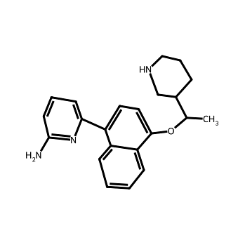 CC(Oc1ccc(-c2cccc(N)n2)c2ccccc12)C1CCCNC1